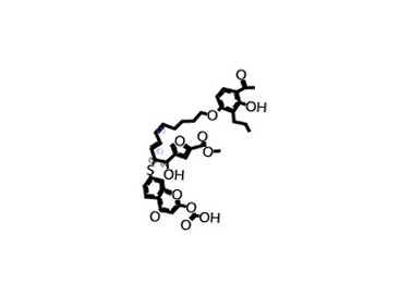 CCCc1c(OCCCC/C=C\C=C\[C@H](Sc2ccc3c(=O)cc(OC(=O)O)oc3c2)[C@H](O)c2coc(C(=O)OC)c2)ccc(C(C)=O)c1O